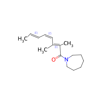 C/C=C/C=C\C(C)=C(/C)C(=O)N1CCCCCC1